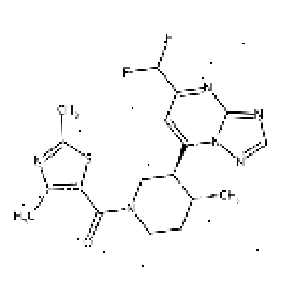 Cc1nc(C)c(C(=O)N2CC[C@@H](C)[C@H](c3cc(C(F)F)nc4ncnn34)C2)s1